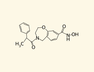 CC(C(=O)N1CCOc2cc(C(=O)NO)ccc2C1)c1ccccc1